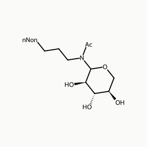 CCCCCCCCCCCCN(C(C)=O)C1OC[C@@H](O)[C@H](O)[C@H]1O